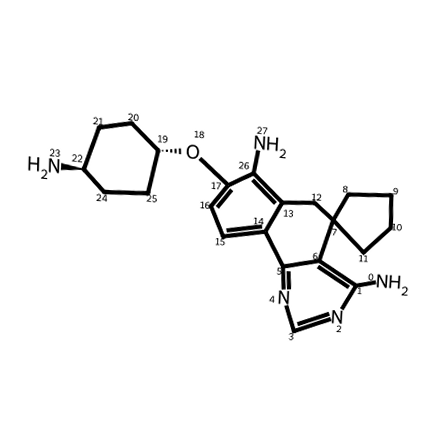 Nc1ncnc2c1C1(CCCC1)Cc1c-2ccc(O[C@H]2CC[C@H](N)CC2)c1N